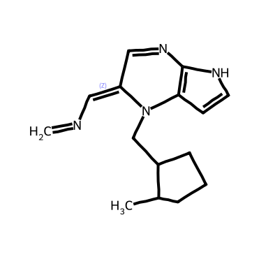 C=N/C=C1/C=Nc2[nH]ccc2N1CC1CCCC1C